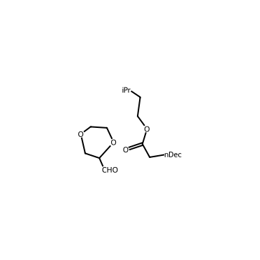 CCCCCCCCCCCC(=O)OCCC(C)C.O=CC1COCCO1